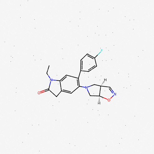 CCN1C(=O)Cc2cc(N3C[C@H]4C=NO[C@H]4C3)c(-c3ccc(F)cc3)cc21